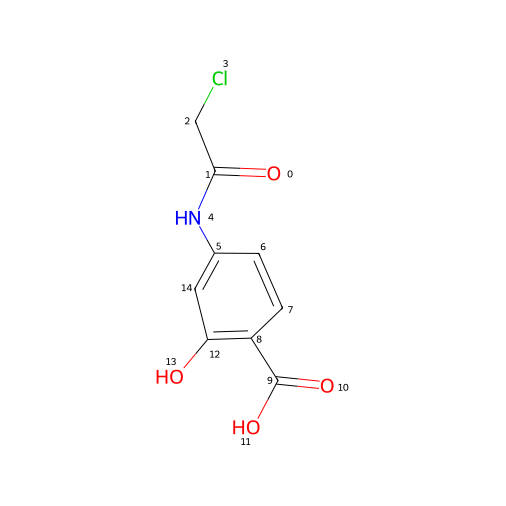 O=C(CCl)Nc1ccc(C(=O)O)c(O)c1